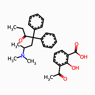 CC(=O)c1cccc(C(=O)O)c1O.CCC(=O)C(CC(C)N(C)C)(c1ccccc1)c1ccccc1